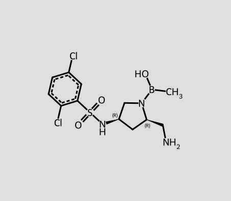 CB(O)N1C[C@H](NS(=O)(=O)c2cc(Cl)ccc2Cl)C[C@@H]1CN